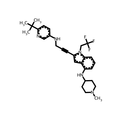 CN1CCC(Nc2cccc3c2cc(C#CCNc2ccc(C(C)(C)C)nc2)n3CC(F)(F)F)CC1